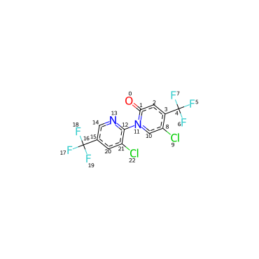 O=c1cc(C(F)(F)F)c(Cl)cn1-c1ncc(C(F)(F)F)cc1Cl